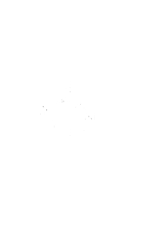 CC(=O)NC1CC1N.Cl